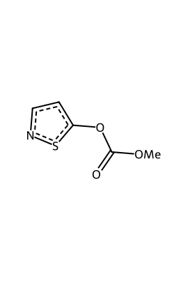 COC(=O)Oc1ccns1